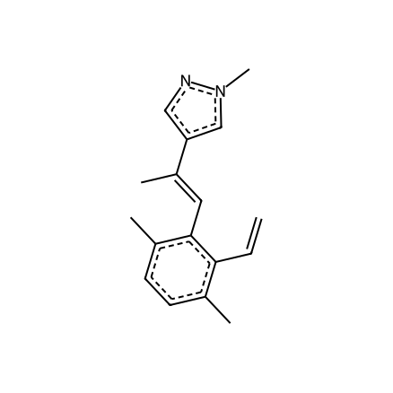 C=Cc1c(C)ccc(C)c1/C=C(\C)c1cnn(C)c1